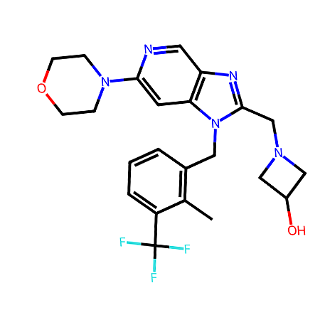 Cc1c(Cn2c(CN3CC(O)C3)nc3cnc(N4CCOCC4)cc32)cccc1C(F)(F)F